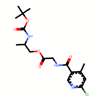 Cc1cc(Cl)ncc1C(=O)NCC(=O)OCC(C)NC(=O)OC(C)(C)C